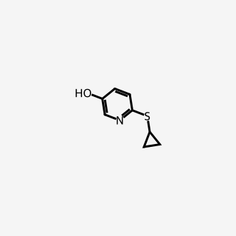 Oc1ccc(SC2CC2)nc1